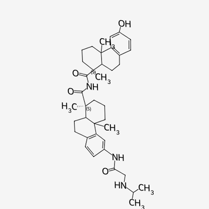 CC(C)NCC(=O)Nc1ccc2c(c1)C1(C)CCC[C@](C)(C(=O)NC(=O)[C@@]3(C)CCCC4(C)c5cc(O)ccc5CCC43)C1CC2